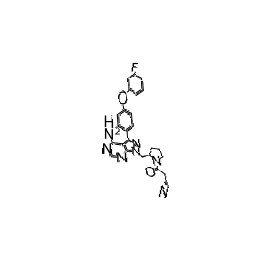 N#CCC(=O)N1CCC[C@@H]1Cn1nc(-c2ccc(Oc3cccc(F)c3)cc2)c2c(N)ncnc21